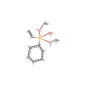 C=CP(O)(OC(C)(C)C)(OC(C)(C)C)c1ccccc1